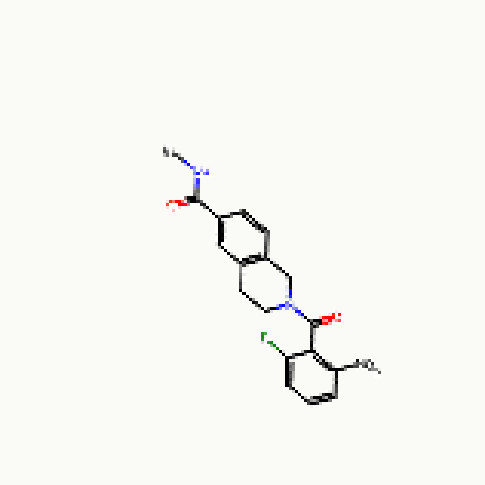 CCNC(=O)c1ccc2c(c1)CCN(C(=O)c1c(F)cccc1[N+](=O)[O-])C2